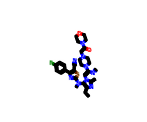 C=N/C(=C\n1c(C)nc(CC)c1N(C)c1nc(-c2ccc(F)cc2)c(C#N)s1)N1CCN(CC(=O)N2CCOCC2)CC1